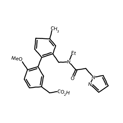 CCN(Cc1cc(C)ccc1-c1cc(CC(=O)O)ccc1OC)C(=O)Cn1cccn1